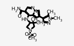 Cc1c(-c2cc3c(NC4CN(S(C)(=O)=O)CC4(C)C)c(C(N)=O)cnn3c2)cnn1C